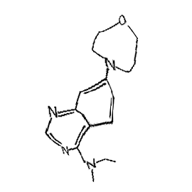 CN(C)c1ncnc2cc(N3CCOCC3)ccc12